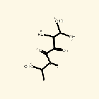 CC([C]=O)C(C)C(=O)C(=O)C(O)C(O)[C]=O